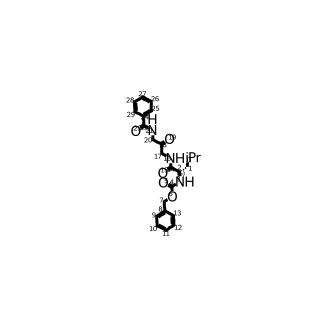 CC(C)C[C@H](NC(=O)OCc1ccccc1)C(=O)NCC(=O)CNC(=O)c1ccccc1